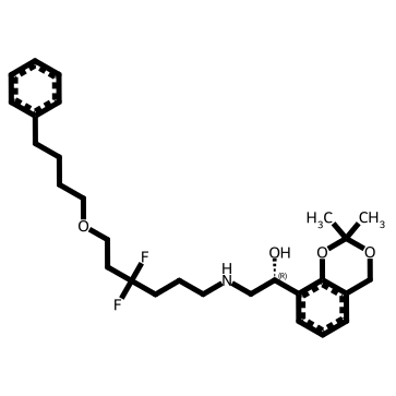 CC1(C)OCc2cccc([C@@H](O)CNCCCC(F)(F)CCOCCCCc3ccccc3)c2O1